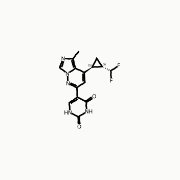 Cc1ncn2nc(-c3c[nH]c(=O)[nH]c3=O)cc([C@H]3C[C@@H]3C(F)F)c12